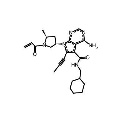 C=CC(=O)N1C[C@H](n2c(C#CC)c(C(=O)NCC3CCCCC3)c3c(N)ncnc32)C[C@@H]1C